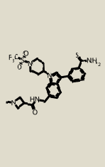 CN1CC(C(=O)NCc2ccc3c(-c4cccc(C(N)=S)c4)cn(C4CCN(S(=O)(=O)C(F)(F)F)CC4)c3c2)C1